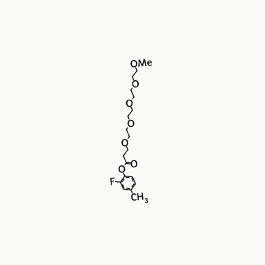 COCCOCCOCCOCCOCCC(=O)Oc1ccc(C)cc1F